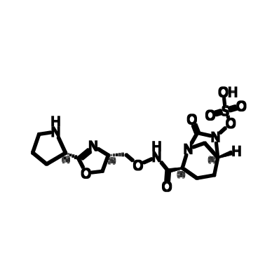 O=C(NOC[C@@H]1COC([C@@H]2CCCN2)=N1)[C@@H]1CC[C@@H]2CN1C(=O)N2OS(=O)(=O)O